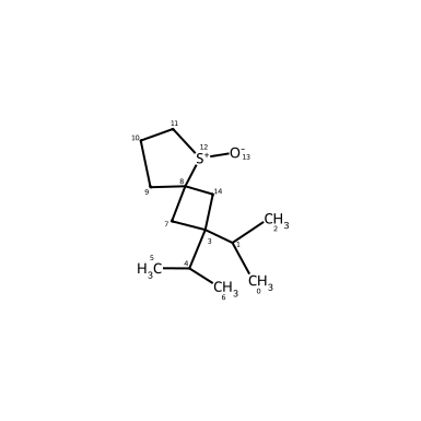 CC(C)C1(C(C)C)CC2(CCC[S+]2[O-])C1